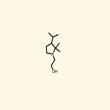 CC(C)C1CCN(CCO)C1(C)C